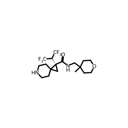 CC1(CNC(=O)[C@@]2(C(C(F)(F)F)C(F)(F)F)CC23CCNCC3)CCOCC1